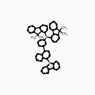 CC1(C)c2ccccc2-c2c(N(c3cccc(-c4ccc(-n5c6ccccc6c6ccccc65)c5ccccc45)c3)c3cccc4c3C(C)(C)c3ccccc3-4)cccc21